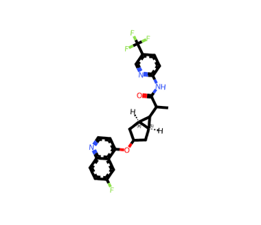 CC(C(=O)Nc1ccc(C(F)(F)F)cn1)C1[C@H]2CC(Oc3ccnc4ccc(F)cc34)C[C@@H]12